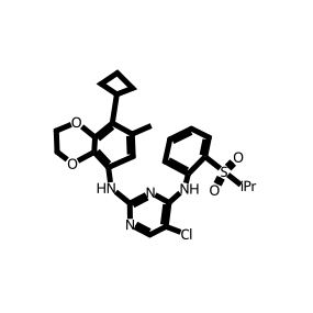 Cc1cc(Nc2ncc(Cl)c(Nc3ccccc3S(=O)(=O)C(C)C)n2)c2c(c1C1CCC1)OCCO2